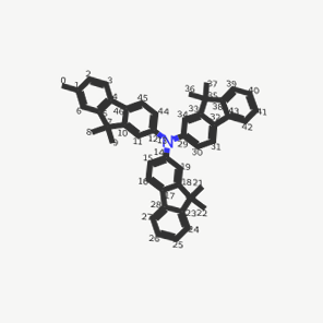 Cc1ccc2c(c1)C(C)(C)c1cc(N(c3ccc4c(c3)C(C)(C)c3ccccc3-4)c3ccc4c(c3)C(C)(C)c3ccccc3-4)ccc1-2